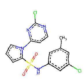 Cc1cc(Cl)cc(NS(=O)(=O)c2cccn2-c2ccnc(Cl)n2)c1